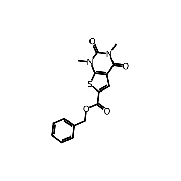 Cn1c(=O)c2cc(C(=O)OCc3ccccc3)sc2n(C)c1=O